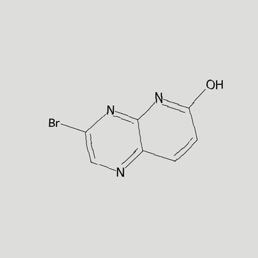 Oc1ccc2ncc(Br)nc2n1